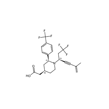 C=C(C)C#C[C@H](CC(F)(F)F)N1CC[C@@H](CC(=O)O)C[C@H]1c1ccc(C(F)(F)F)cc1